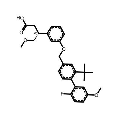 COC[C@H](CC(=O)O)c1cccc(OCc2ccc(-c3cc(OC)ccc3F)c(C(C)(C)C)c2)c1